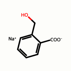 O=C([O-])c1ccccc1CO.[Na+]